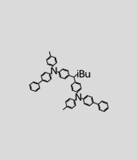 CCC(C)C(c1ccc(N(c2ccc(C)cc2)c2ccc(-c3ccccc3)cc2)cc1)c1ccc(N(c2ccc(C)cc2)c2ccc(-c3ccccc3)cc2)cc1